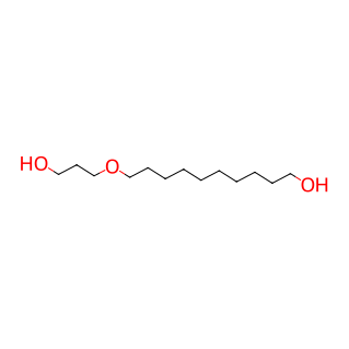 OCCCCCCCCCCOCCCO